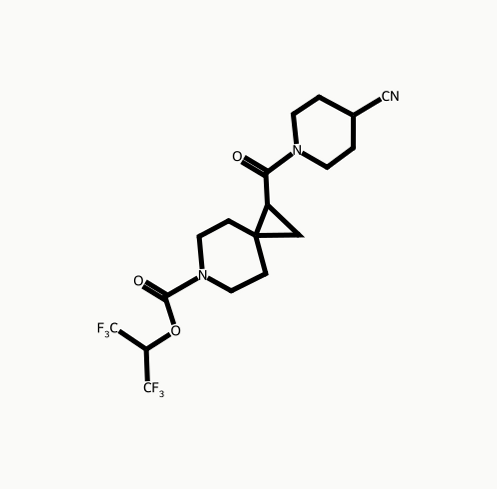 N#CC1CCN(C(=O)C2CC23CCN(C(=O)OC(C(F)(F)F)C(F)(F)F)CC3)CC1